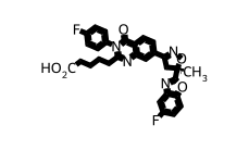 C[C@@]1(c2nc3cc(F)ccc3o2)CC(c2ccc3c(=O)n(-c4ccc(F)cc4)c(CCCCC(=O)O)nc3c2)=NO1